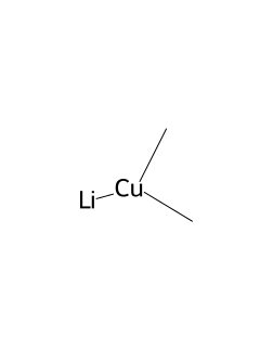 [Li][Cu]([CH3])[CH3]